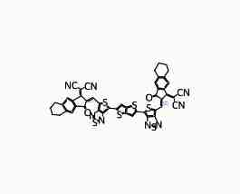 N#CC(C#N)=C1/C(=C/c2sc(-c3cc4sc(-c5sc(/C=C6\C(=O)c7cc8c(cc7C6=C(C#N)C#N)CCCC8)c6c5N=S=N6)cc4s3)c3c2N=S=N3)C(=O)c2cc3c(cc21)CCCC3